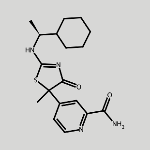 C[C@H](NC1=NC(=O)C(C)(c2ccnc(C(N)=O)c2)S1)C1CCCCC1